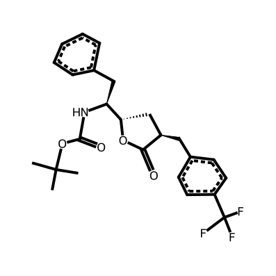 CC(C)(C)OC(=O)N[C@@H](Cc1ccccc1)[C@@H]1C[C@@H](Cc2ccc(C(F)(F)F)cc2)C(=O)O1